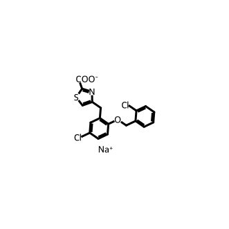 O=C([O-])c1nc(Cc2cc(Cl)ccc2OCc2ccccc2Cl)cs1.[Na+]